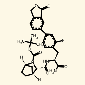 CC(C)(C)OC(=O)N1[C@@H]2CC[C@@H](C2)[C@H]1C(=O)N[C@@H](Cc1ccc(-c2ccc3c(c2)C(=O)OC3)cc1F)C(N)=O